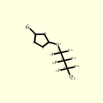 [CH2]CC1C[CH]C(OC(F)(F)C(F)(F)C(F)(F)C(F)(F)F)C1